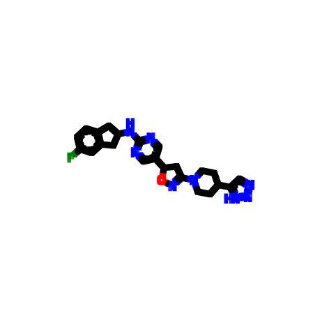 Fc1ccc2c(c1)CC(Nc1ncc(C3CC(N4CCC(c5cnn[nH]5)CC4)=NO3)cn1)C2